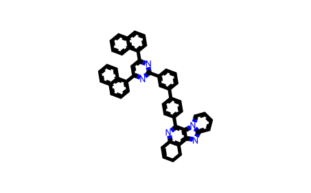 C1=Cc2nc(-c3ccc(-c4cccc(-c5nc(-c6cccc7ccccc67)cc(-c6cccc7ccccc67)n5)c4)cc3)c3c(nc4ccccn43)c2CC1